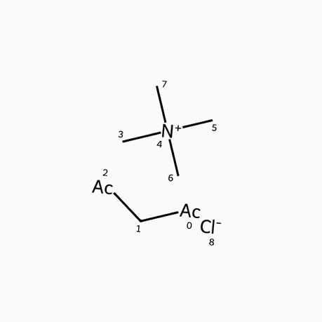 CC(=O)CC(C)=O.C[N+](C)(C)C.[Cl-]